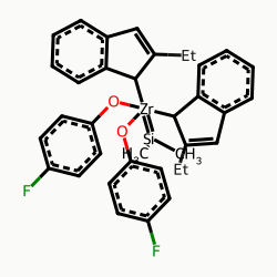 CCC1=Cc2ccccc2[CH]1[Zr]([O]c1ccc(F)cc1)([O]c1ccc(F)cc1)([CH]1C(CC)=Cc2ccccc21)=[Si](C)C